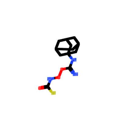 N=C(NC12CC3CC(CC(C3)C1)C2)OONC(=O)S